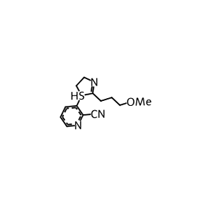 COCCCC1=NCC[SH]1c1cccnc1C#N